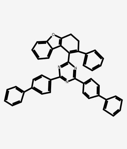 c1ccc(C2=C(c3nc(-c4ccc(-c5ccccc5)cc4)nc(-c4ccc(-c5ccccc5)cc4)n3)c3c(oc4ccccc34)CC2)cc1